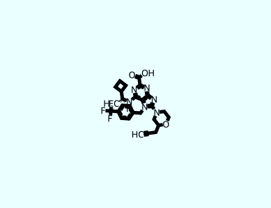 C#CCC1CN(c2nc3nc(C(=O)O)nc(N[C@H](C)C4CCC4)c3n2Cc2ccc(C(F)(F)F)cc2)CCO1